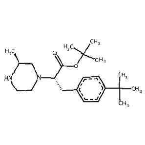 C[C@H]1CN([C@@H](Cc2ccc(C(C)(C)C)cc2)C(=O)OC(C)(C)C)CCN1